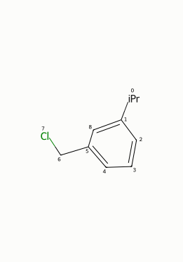 CC(C)c1cccc(CCl)c1